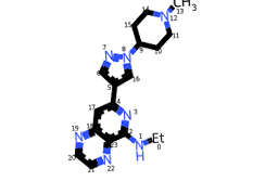 CCNc1nc(-c2cnn(C3CCN(C)CC3)c2)cc2nccnc12